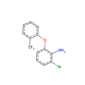 Nc1c(Br)cccc1Oc1ccccc1C(F)(F)F